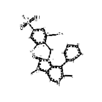 Cc1ncc2c(c1-c1ccccc1)n(Cc1c(F)cc([S@](C)(=N)=O)cc1F)c(=O)n2C